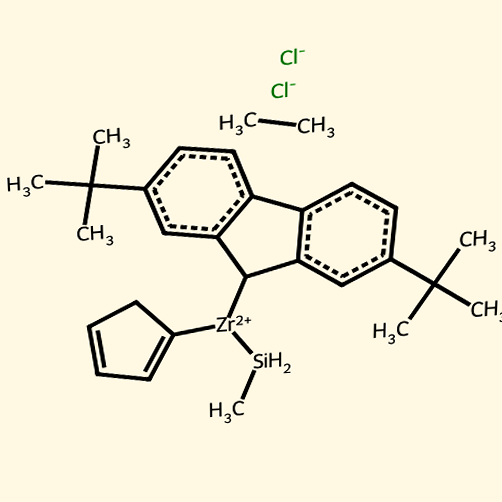 CC.C[SiH2][Zr+2]([C]1=CC=CC1)[CH]1c2cc(C(C)(C)C)ccc2-c2ccc(C(C)(C)C)cc21.[Cl-].[Cl-]